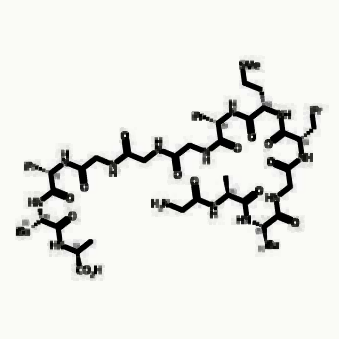 CC[C@H](C)[C@H](NC(=O)[C@H](C)NC(=O)CN)C(=O)NCC(=O)N[C@@H](CC(C)C)C(=O)N[C@@H](CCSC)C(=O)N[C@H](C(=O)NCC(=O)NCC(=O)NCC(=O)N[C@H](C(=O)N[C@H](C(=O)N[C@@H](C)C(=O)O)[C@@H](C)CC)C(C)C)C(C)C